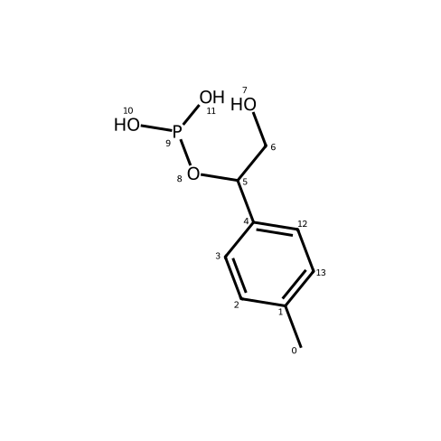 Cc1ccc(C(CO)OP(O)O)cc1